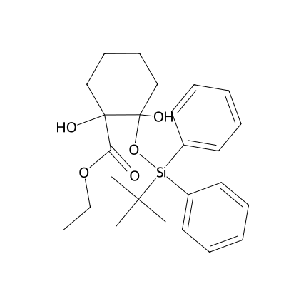 CCOC(=O)C1(O)CCCCC1(O)O[Si](c1ccccc1)(c1ccccc1)C(C)(C)C